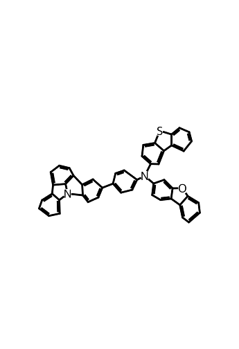 c1ccc2c(c1)oc1cc(N(c3ccc(-c4ccc5c(c4)c4cccc6c7ccccc7n5c64)cc3)c3ccc4sc5ccccc5c4c3)ccc12